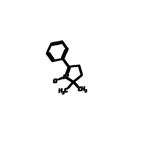 CC1(C)CCC(c2ccccc2)=[N+]1[O-]